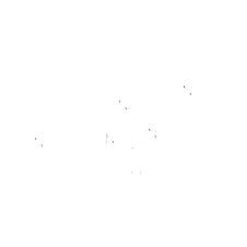 CN1CCC2C(C1)CN2C(=O)N1c2ccccc2C(=O)Nc2cccnc21